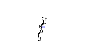 C/[C]=N/OCCl